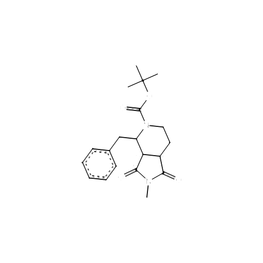 CN1C(=O)C2CCN(C(=O)OC(C)(C)C)C(Cc3ccccc3)C2C1=O